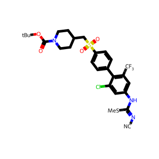 CS/C(=N\C#N)Nc1cc(Cl)c(-c2ccc(S(=O)(=O)CC3CCN(C(=O)OC(C)(C)C)CC3)cc2)c(C(F)(F)F)c1